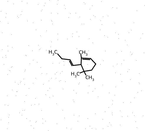 CCC=CC1C(C)=CCCC1(C)C